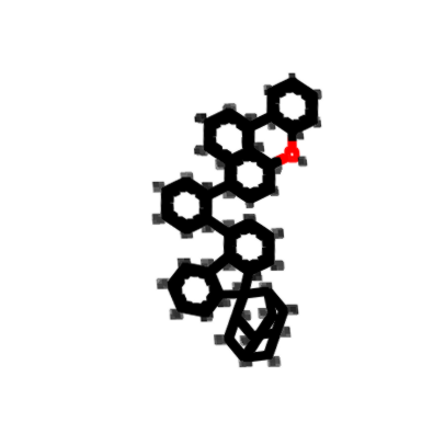 c1ccc2c(c1)Oc1ccc(-c3ccccc3-c3cccc4c3-c3ccccc3C43C4CC5CC(C4)CC3C5)c3cccc-2c13